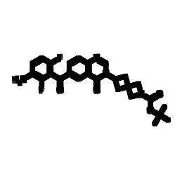 CC(C)(C)OC(=O)N1CC2(CC(n3cnc4ccc(C(=O)c5c(F)ccc(N)c5F)cc4c3=O)C2)C1